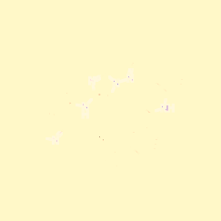 N#CC1(c2cccc(C(=O)Nc3cccc(Oc4ccc5nc(NC(=O)c6cccnc6)cn5n4)c3)c2)CC1